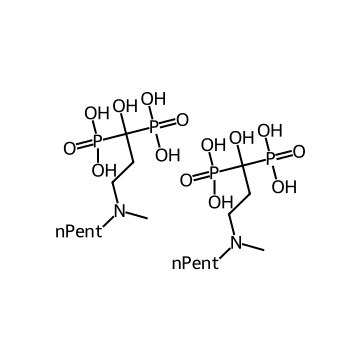 CCCCCN(C)CCC(O)(P(=O)(O)O)P(=O)(O)O.CCCCCN(C)CCC(O)(P(=O)(O)O)P(=O)(O)O